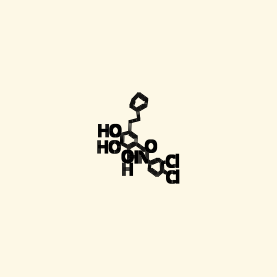 O=C(Nc1ccc(Cl)c(Cl)c1)c1cc(CCc2ccccc2)c(O)c(O)c1O